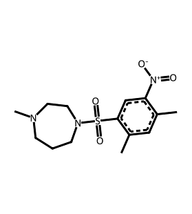 Cc1cc(C)c(S(=O)(=O)N2CCCN(C)CC2)cc1[N+](=O)[O-]